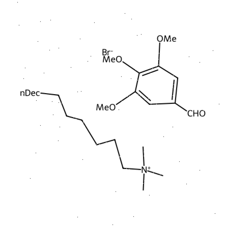 CCCCCCCCCCCCCCCC[N+](C)(C)C.COc1cc(C=O)cc(OC)c1OC.[Br-]